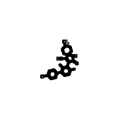 Cc1ccc(-c2ccc(Cl)cc2)c(C)c1C1=C(O)C2(CCC(C(F)(F)F)CC2)NC1=O